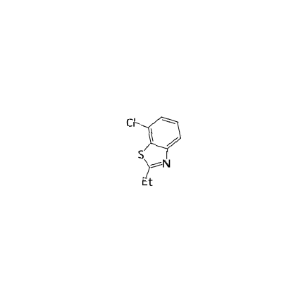 CCc1nc2cccc(Cl)c2s1